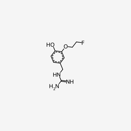 N=C(N)NCc1ccc(O)c(OCCF)c1